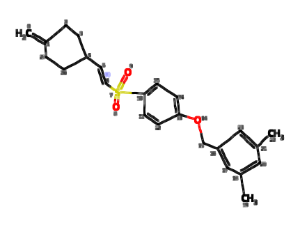 C=C1CCC(/C=C/S(=O)(=O)c2ccc(OCc3cc(C)cc(C)c3)cc2)CC1